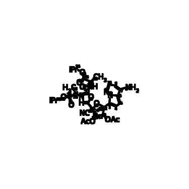 CC(=O)O[C@H]1[C@H](c2ccc3c(N)ccnn23)O[C@](C#N)(COP(=O)(N[C@@H](C)C(=O)OC(C)C)N[C@@H](C)C(=O)OC(C)C)[C@H]1OC(C)=O